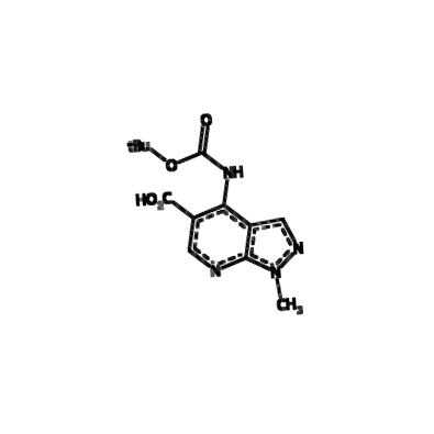 Cn1ncc2c(NC(=O)OC(C)(C)C)c(C(=O)O)cnc21